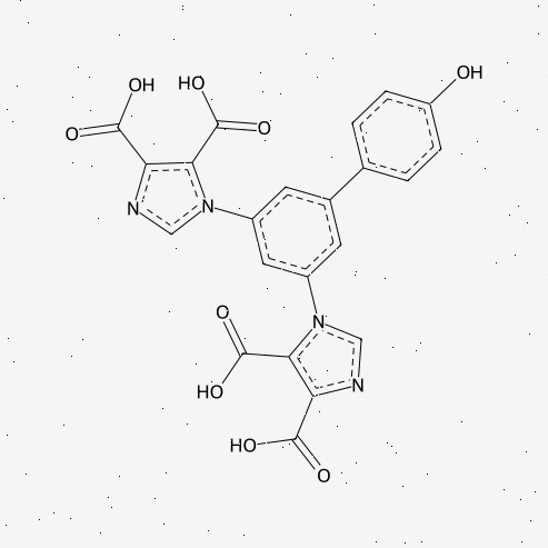 O=C(O)c1ncn(-c2cc(-c3ccc(O)cc3)cc(-n3cnc(C(=O)O)c3C(=O)O)c2)c1C(=O)O